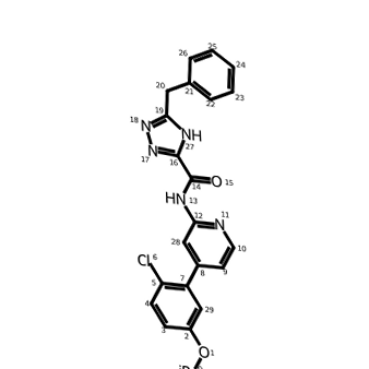 CC(C)Oc1ccc(Cl)c(-c2ccnc(NC(=O)c3nnc(Cc4ccccc4)[nH]3)c2)c1